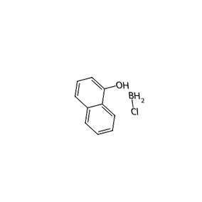 BCl.Oc1cccc2ccccc12